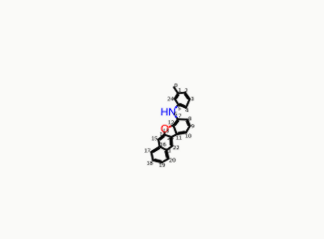 Cc1cccc(Nc2cccc3c2oc2cc4ccccc4cc23)c1